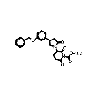 CC(C)(C)OC(=O)N1C(=O)CCC(N2CC(c3cccc(OCc4ccccc4)c3)CC2=O)C1=O